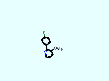 COc1cccnc1-c1ccc(F)cc1